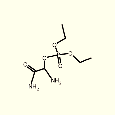 CCOP(=O)(OCC)OC(N)C(N)=O